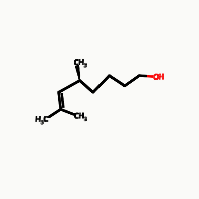 CC(C)=C[C@@H](C)CCCCO